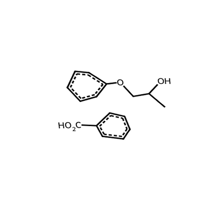 CC(O)COc1ccccc1.O=C(O)c1ccccc1